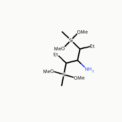 CCC(C(N)C(CC)[Si](C)(OC)OC)[Si](C)(OC)OC